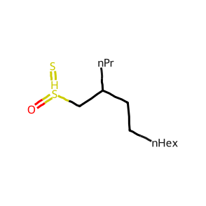 CCCCCCCCC(CCC)C[SH](=O)=S